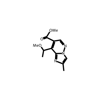 COC(=O)c1cnn2cc(C)nc2c1C(C)OC